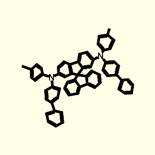 Cc1ccc(N(c2ccc(-c3ccccc3)cc2)c2ccc3c(c2)C2(c4ccccc4-c4ccccc42)c2cc(N(c4ccc(C)cc4)c4ccc(-c5ccccc5)cc4)ccc2-3)cc1